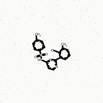 Cc1ccc(S(=O)(=O)Nc2ccnc(-c3cccc(C)c3Cl)n2)cc1